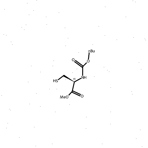 CCCCOC(=O)N[C@H](CS)C(=O)OC